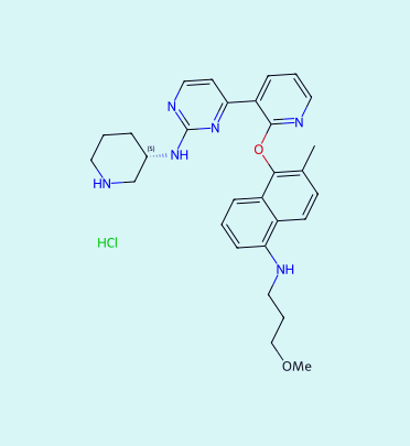 COCCCNc1cccc2c(Oc3ncccc3-c3ccnc(N[C@H]4CCCNC4)n3)c(C)ccc12.Cl